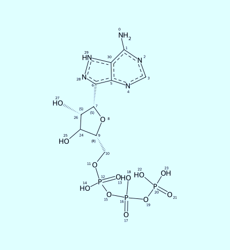 Nc1ncnc2c([C@@H]3O[C@H](COP(=O)(O)OP(=O)(O)OP(=O)(O)O)C(O)[C@@H]3O)n[nH]c12